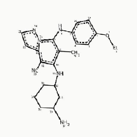 CCOc1ccc(Nc2c(C)c(NC3CCCC(N)C3)c(C#N)c3ccnn23)cc1